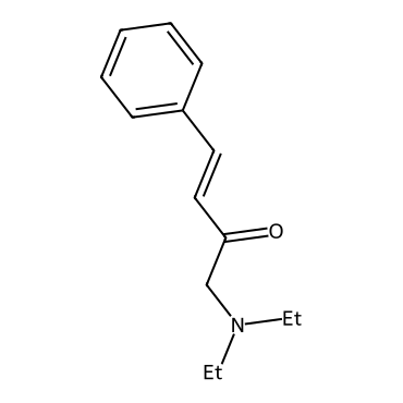 CCN(CC)CC(=O)C=Cc1ccccc1